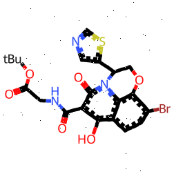 CC(C)(C)OC(=O)CNC(=O)c1c(O)c2ccc(Br)c3c2n(c1=O)C(c1cncs1)CO3